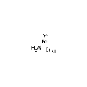 [AlH3].[Cr].[Fe].[Ni].[Y]